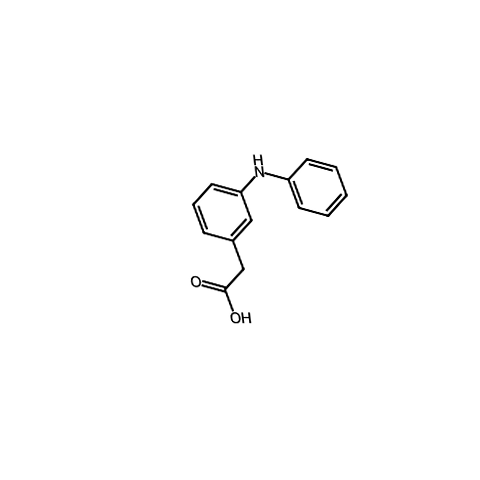 O=C(O)Cc1cccc(Nc2ccccc2)c1